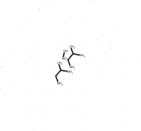 CC(N)CN.CC(N)CN.O=[N+]([O-])O